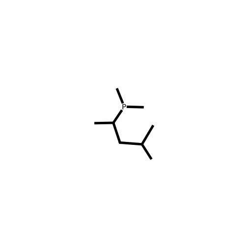 CC(C)CC(C)P(C)C